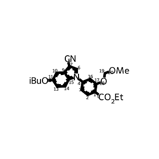 CCOC(=O)c1ccc(-n2cc(C#N)c3cc(OCC(C)C)ccc32)cc1OCOC